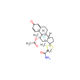 CS[C@]1(SCC(N)=O)CC[C@H]2[C@@H]3CCC4=CC(=O)C=C[C@]4(C)C3(F)[C@@H](OC(C)=O)C[C@@]21C